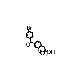 Nc1cc(C(=O)c2ccc(Br)cc2)ccc1CC(=O)O